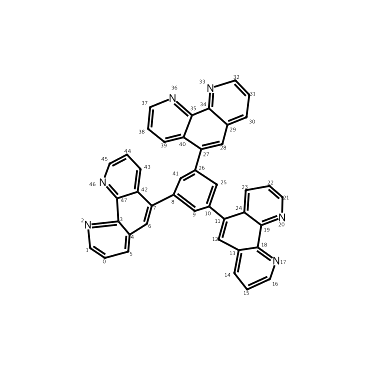 c1cnc2c(c1)cc(-c1cc(-c3cc4cccnc4c4ncccc34)cc(-c3cc4cccnc4c4ncccc34)c1)c1cccnc12